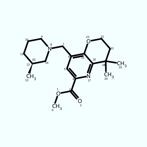 COC(=O)c1cc(CN2CCC[C@H](C)C2)c2c(n1)C(C)(C)CCO2